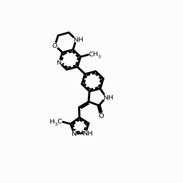 Cc1n[nH]cc1C=C1C(=O)Nc2ccc(-c3cnc4c(c3C)NCCO4)cc21